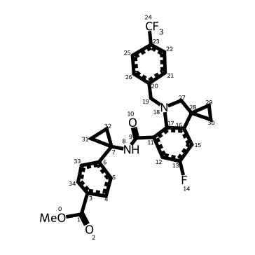 COC(=O)c1ccc(C2(NC(=O)c3cc(F)cc4c3N(Cc3ccc(C(F)(F)F)cc3)CC43CC3)CC2)cc1